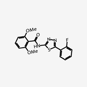 COc1cccc(OC)c1C(=O)Nc1nnc(-c2ccccc2F)s1